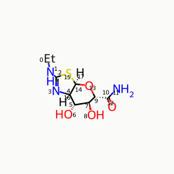 CCNC1=N[C@@H]2[C@@H](O)[C@H](O)[C@@H](C(N)=O)O[C@@H]2S1